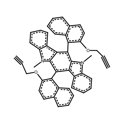 C#CCOc1ccc2ccccc2c1-c1c2c3ccccc3n(C)c2c(-c2c(OCC#C)ccc3ccccc23)c2c3ccccc3n(C)c12